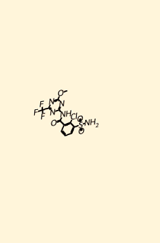 COc1nc(NC(=O)c2cccc(S(N)(=O)=O)c2Cl)nc(C(F)(F)F)n1